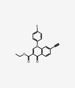 C#Cc1ccc2c(=O)c(C(=O)OCC)cn(-c3ccc(F)cc3)c2c1